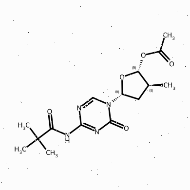 CC(=O)O[C@H]1O[C@@H](n2cnc(NC(=O)C(C)(C)C)nc2=O)C[C@@H]1C